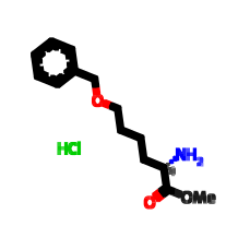 COC(=O)[C@@H](N)CCCCOCc1ccccc1.Cl